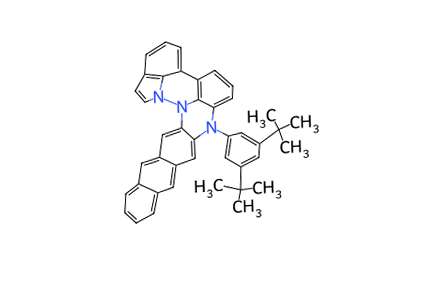 CC(C)(C)c1cc(-n2c3cccc4c3-n(c3cc5cc6ccccc6cc5cc32)n2ccc3cccc4c32)cc(C(C)(C)C)c1